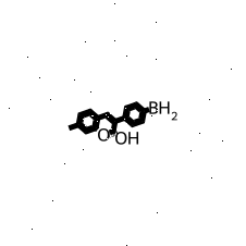 Bc1ccc(C2=Cc3ccc(C)cc3O[C@@H]2O)cc1